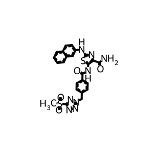 CS(=O)(=O)c1nnn(Cc2ccc(C(=O)Nc3sc(Nc4ccc5ccccc5c4)nc3C(N)=O)cc2)n1